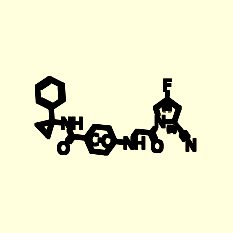 N#C[C@@H]1C[C@H](F)CN1C(=O)CNC12CCC(C(=O)NC3(c4ccccc4)CC3)(CC1)CC2